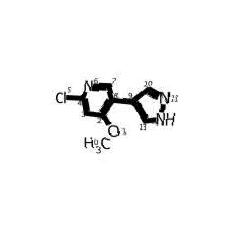 COc1cc(Cl)ncc1-c1cn[nH]c1